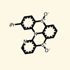 CC(C)c1ccc2c(c1)N1c3ncccc3[S+]([O-])c3cccc(c31)[S+]2[O-]